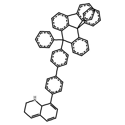 C1=CC2=CCCNC2C(c2ccc(-c3ccc(C4(c5ccccc5)c5ccccc5C5(c6ccccc6)c6ccccc6-c6cccc4c65)cc3)cc2)=C1